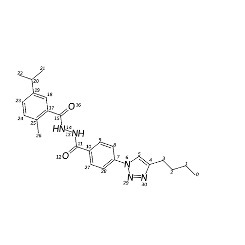 CCCCc1cn(-c2ccc(C(=O)NNC(=O)c3cc(C(C)C)ccc3C)cc2)nn1